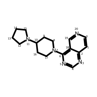 c1cc2ncnc(N3CCC(N4CCCC4)CC3)c2cn1